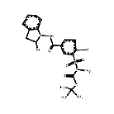 [CH2]N(C(=O)OC(C)(C)C)S(=O)(=O)c1cc(C(=O)NN2c3ccccc3CC2C)ccc1Cl